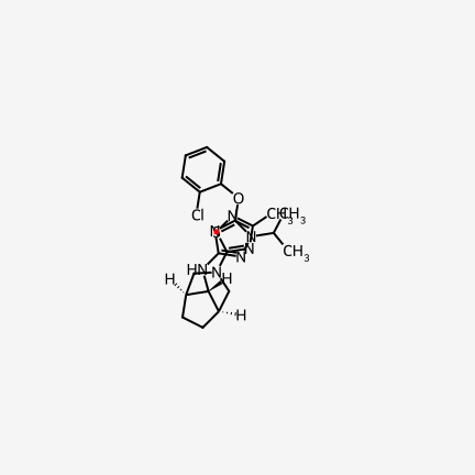 Cc1nsc(N2C[C@H]3CC[C@@H](C2)[C@@H]3Nc2nc(Oc3ccccc3Cl)n(C(C)C)n2)n1